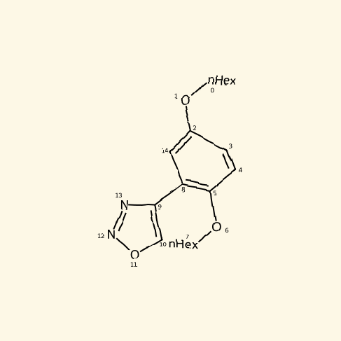 CCCCCCOc1ccc(OCCCCCC)c(-c2conn2)c1